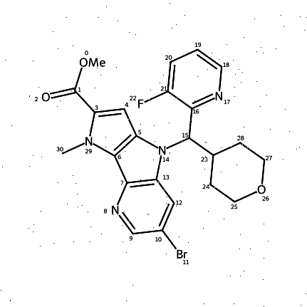 COC(=O)c1cc2c(c3ncc(Br)cc3n2C(c2ncccc2F)C2CCOCC2)n1C